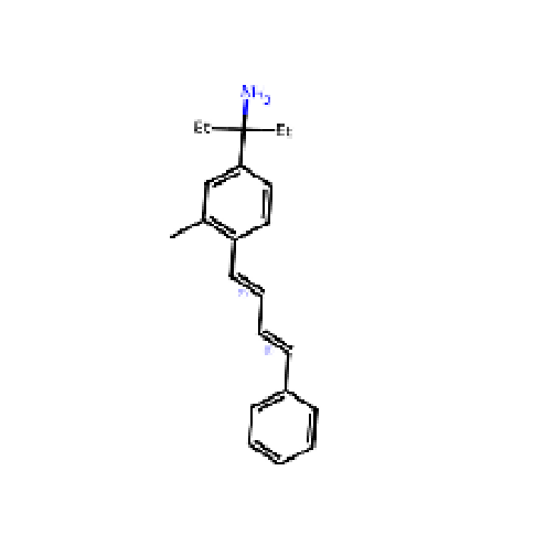 CCC(N)(CC)c1ccc(/C=C/C=C/c2ccccc2)c(C)c1